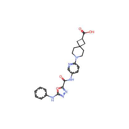 O=C(Nc1ccc(N2CCC3(CC2)CC(C(=O)O)C3)nc1)c1nnc(Nc2ccccc2)o1